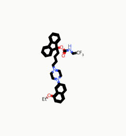 CCOc1cccc2ccc(N3CCN(CCCCC4(OC(=O)NCC(F)(F)F)c5ccccc5-c5ccccc54)CC3)cc12